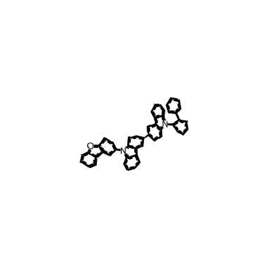 c1ccc(-c2ccccc2-n2c3ccccc3c3cc(-c4ccc5c(c4)c4ccccc4n5-c4ccc5oc6ccccc6c5c4)ccc32)cc1